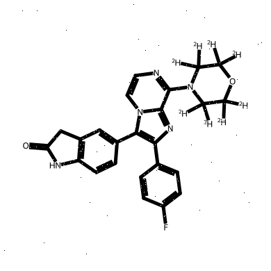 [2H]C1([2H])OC([2H])([2H])C([2H])([2H])N(c2nccn3c(-c4ccc5c(c4)CC(=O)N5)c(-c4ccc(F)cc4)nc23)C1([2H])[2H]